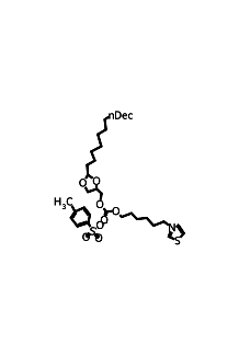 CCCCCCCCCCCCCCCCCC1OCC(COC(=O)OCCCCCC[n+]2ccsc2)O1.Cc1ccc(S(=O)(=O)[O-])cc1